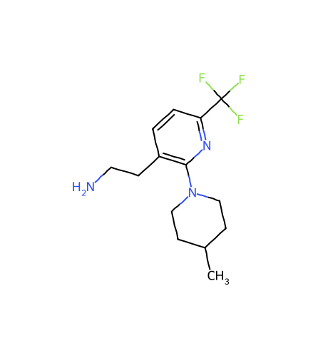 CC1CCN(c2nc(C(F)(F)F)ccc2CCN)CC1